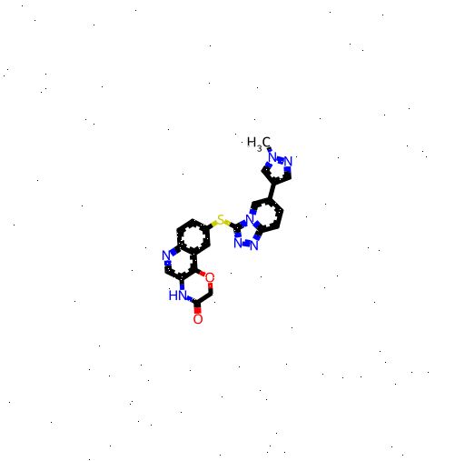 Cn1cc(-c2ccc3nnc(Sc4ccc5ncc6c(c5c4)OCC(=O)N6)n3c2)cn1